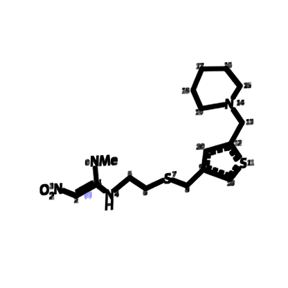 CN/C(=C\[N+](=O)[O-])NCCSCc1csc(CN2CCCCC2)c1